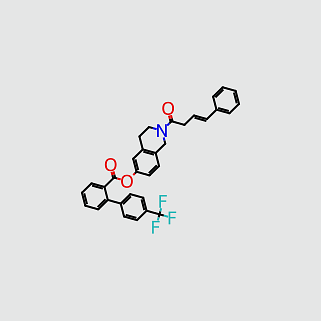 O=C(Oc1ccc2c(c1)CCN(C(=O)CC=Cc1ccccc1)C2)c1ccccc1-c1ccc(C(F)(F)F)cc1